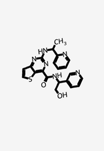 CC(Nc1nc(C(=O)NC(CO)c2cccnc2)c2sccc2n1)c1ccccn1